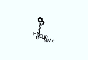 CNC(=O)COC(=O)NCCCCn1ccc2ccccc21